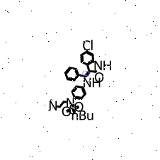 CCCCS(=O)(=O)N(CCN(C)C)c1ccc(N/C(=C2\C(=O)Nc3cc(Cl)ccc32)c2ccccc2)cc1